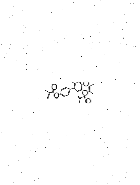 C=C(C)C(=O)OC(C)=C(C)Oc1ccc(-c2ccc(OC(=O)C(=C)C)cc2)c(C)c1